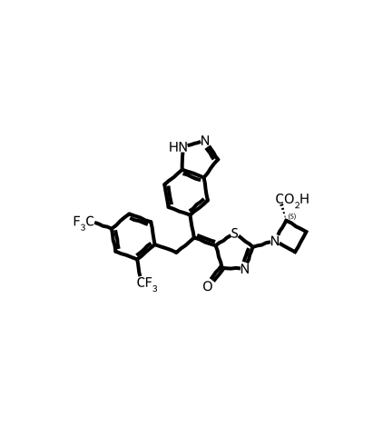 O=C1N=C(N2CC[C@H]2C(=O)O)SC1=C(Cc1ccc(C(F)(F)F)cc1C(F)(F)F)c1ccc2[nH]ncc2c1